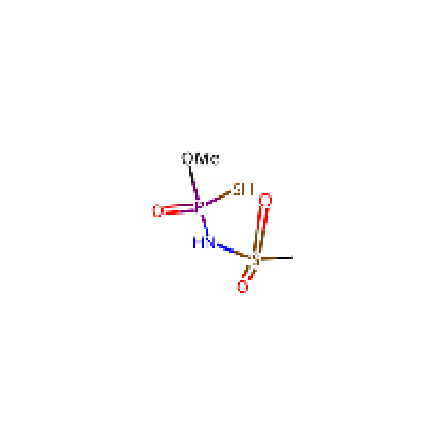 COP(=O)(S)NS(C)(=O)=O